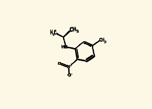 Cc1ccc([N+](=O)[O-])c(NC(C)C)c1